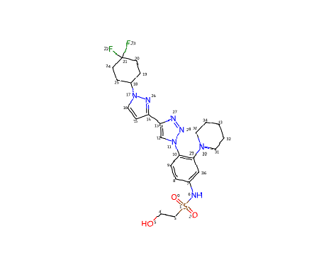 O=S(=O)(CCO)Nc1ccc(-n2cc(-c3ccn(C4CCC(F)(F)CC4)n3)nn2)c(N2CCCCC2)c1